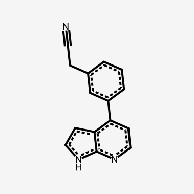 N#CCc1cccc(-c2ccnc3[nH]ccc23)c1